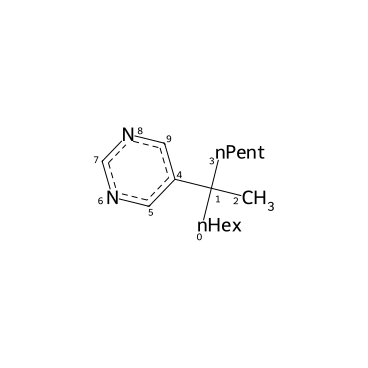 CCCCCCC(C)(CCCCC)c1cncnc1